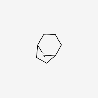 C1CC2CCC(C1)S2